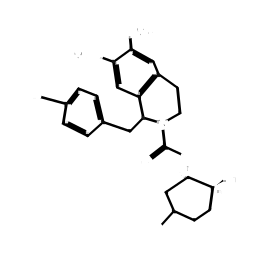 COc1cc2c(cc1OC)C(Cc1ccc(Br)cc1)N(C(=O)O[C@H]1CC(C)CC[C@@H]1C(C)C)CC2